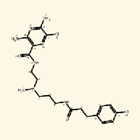 CN(CCCNC(=O)CCc1ccc(Cl)cc1)CCNC(=O)c1nc(Cl)c(N)nc1N